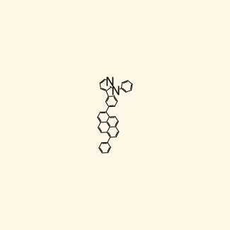 c1ccc(-c2ccc3ccc4c(-c5ccc6c(c5)c5cccnc5n6-c5ccccc5)ccc5ccc2c3c54)cc1